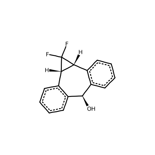 O[C@@H]1c2ccccc2[C@@H]2[C@H](c3ccccc31)C2(F)F